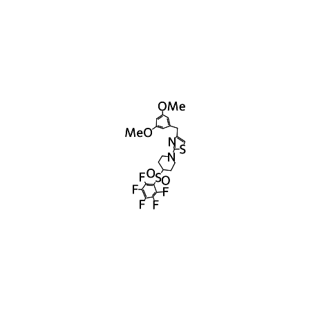 COc1cc(Cc2csc(N3CCC(S(=O)(=O)c4c(F)c(F)c(F)c(F)c4F)CC3)n2)cc(OC)c1